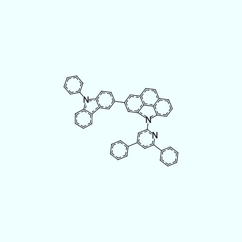 c1ccc(-c2cc(-c3ccccc3)nc(-n3c4cccc5ccc6cc(-c7ccc8c(c7)c7ccccc7n8-c7ccccc7)cc3c6c54)c2)cc1